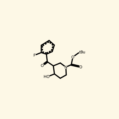 CC(C)(C)OC(=O)N1CCC(O)C(C(=O)c2ccccc2F)C1